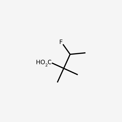 CC(F)C(C)(C)C(=O)O